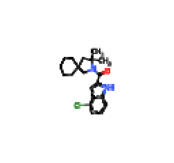 CC1(C)CC2(CCCCC2)CN1C(=O)c1cc2c(Cl)cccc2[nH]1